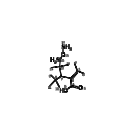 CC(C)=C(C(=O)O)C(C(C)(C)C)C(C)(C)[SiH2]O[SiH3]